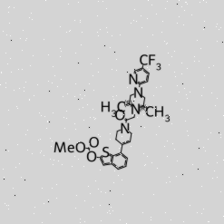 COC(=O)Oc1cc2cccc(C3=CCN(C(=O)CN4[C@H](C)CN(c5ccc(C(F)(F)F)cn5)C[C@@H]4C)CC3)c2s1